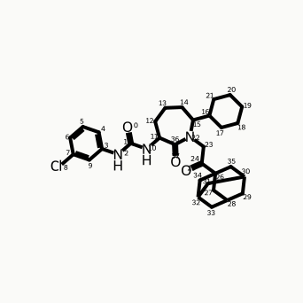 O=C(Nc1cccc(Cl)c1)NC1CCCC(C2CCCCC2)N(CC(=O)C23CC4CC(CC(C4)C2)C3)C1=O